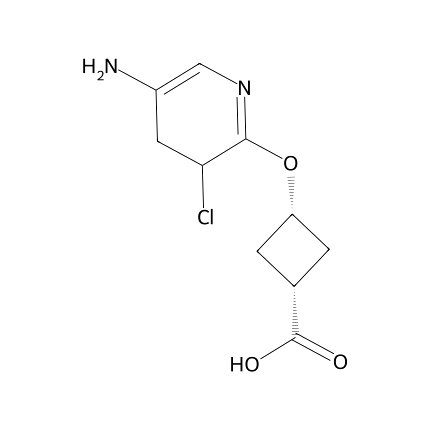 NC1=CN=C(O[C@H]2C[C@@H](C(=O)O)C2)C(Cl)C1